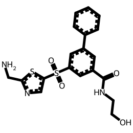 NCc1ncc(S(=O)(=O)c2cc(C(=O)NCCO)cc(-c3ccccc3)c2)s1